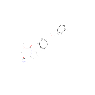 CC(C)(C)OC(=O)N1[C@H](C(N)=O)CC[C@H]1c1ccc(OCc2ccccc2)cc1